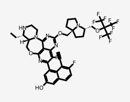 C#Cc1c(F)ccc2cc(O)cc(-c3nc4c5c(nc(OC[C@@]67CCCN6[C@H](COC(C(F)(F)F)(C(F)(F)F)C(F)(F)F)CC7)nc5c3F)N3CCN[C@@H](CC)[C@H]3CO4)c12